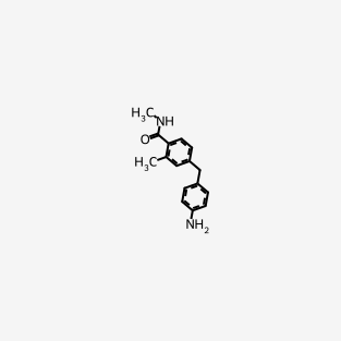 CNC(=O)c1ccc(Cc2ccc(N)cc2)cc1C